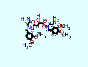 COc1ccc(CN(CCN)OC(=O)CC(O)C(=O)ON(CCN)Cc2ccc(OC)c(OC)c2)cc1OC